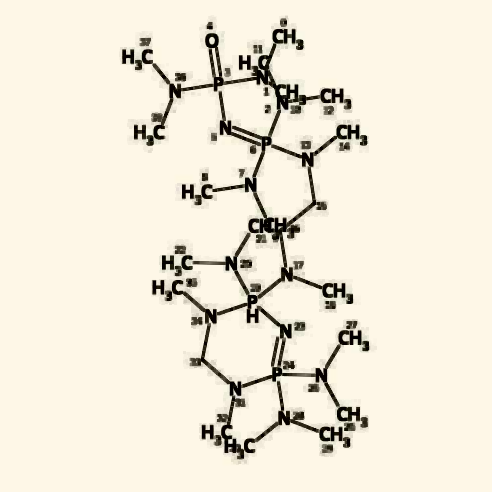 CN(C)P(=O)(N=P(N(C)C)(N(C)C)N(C)CCN(C)[PH]1(N(C)C)N=P(N(C)C)(N(C)C)N(C)CN1C)N(C)C